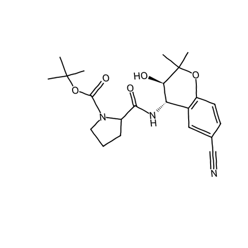 CC(C)(C)OC(=O)N1CCCC1C(=O)N[C@H]1c2cc(C#N)ccc2OC(C)(C)[C@@H]1O